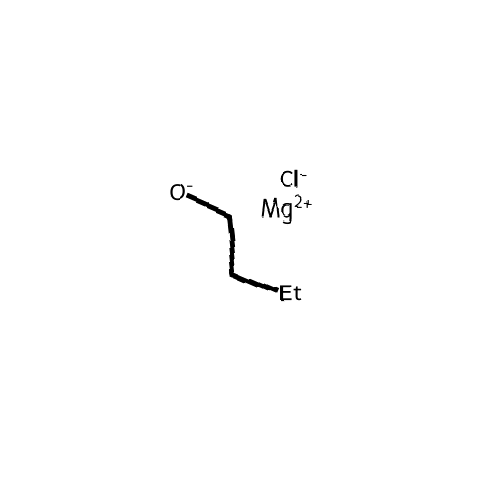 CCCC[O-].[Cl-].[Mg+2]